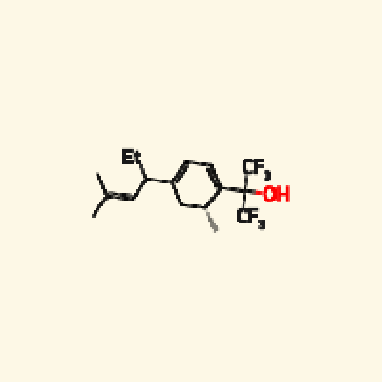 CCC(C=C(C)C)C1=CC=C(C(O)(C(F)(F)F)C(F)(F)F)[C@H](C)C1